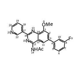 COc1cc(-c2cccc(F)c2)cc2c(NC(C)=O)nc(-c3cccnc3)nc12